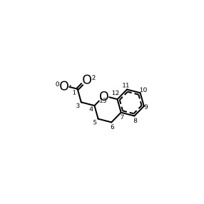 [O]C(=O)CC1CCc2ccccc2O1